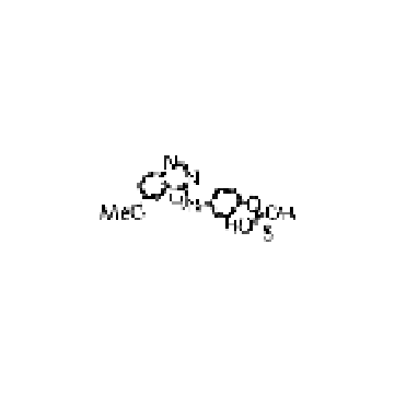 COc1ccc2ncnc(Nc3ccc(OP(O)(O)=S)cc3)c2c1